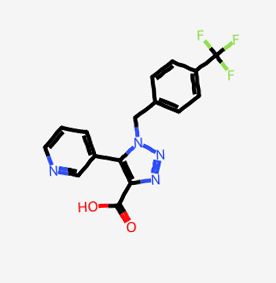 O=C(O)c1nnn(Cc2ccc(C(F)(F)F)cc2)c1-c1cccnc1